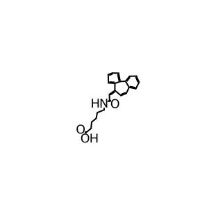 O=C(O)CCCCCNC(=O)C=C1C=Cc2ccccc2-c2ccccc21